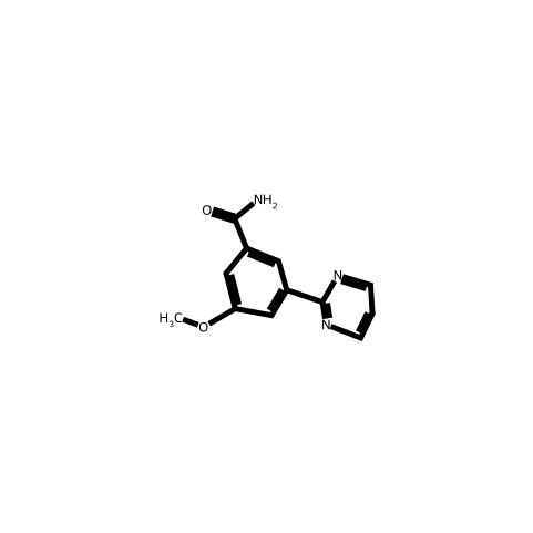 COc1cc(C(N)=O)cc(-c2ncccn2)c1